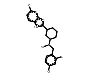 CC(=O)N(Cc1ccc(Cl)cc1Cl)C1CCCC(c2nc3nc(Cl)ccc3[nH]2)C1